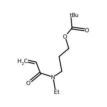 C=CC(=O)N(CC)CCCOC(=O)C(C)(C)C